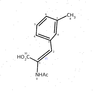 CC(=O)N/C(=C/c1cccc(C)c1)C(=O)O